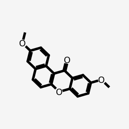 COc1ccc2c(ccc3oc4ccc(OC)cc4c(=O)c32)c1